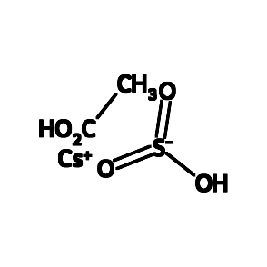 CC(=O)O.O=[S-](=O)O.[Cs+]